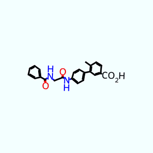 Cc1ccc(C(=O)O)cc1-c1ccc(NC(=O)CNC(=O)c2ccccc2)cc1